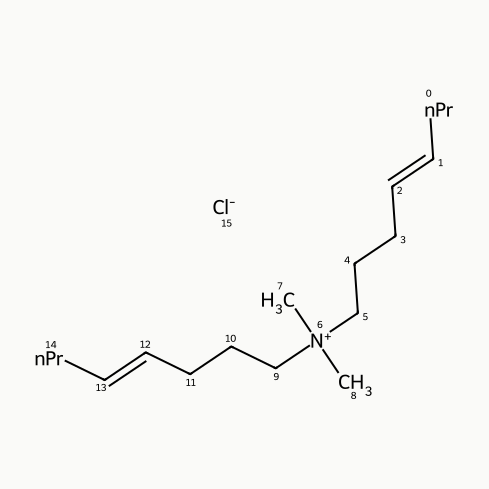 CCCC=CCCC[N+](C)(C)CCCC=CCCC.[Cl-]